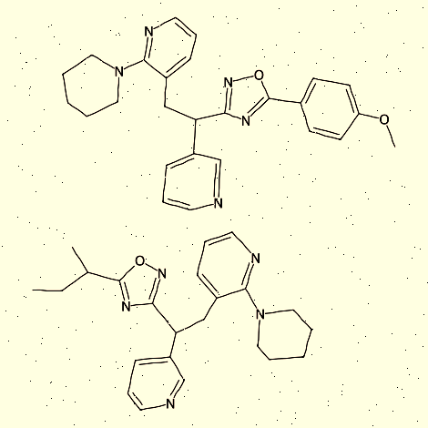 CCC(C)c1nc(C(Cc2cccnc2N2CCCCC2)c2cccnc2)no1.COc1ccc(-c2nc(C(Cc3cccnc3N3CCCCC3)c3cccnc3)no2)cc1